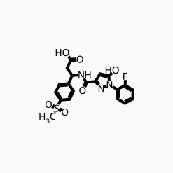 CS(=O)(=O)c1ccc(C(CC(=O)O)NC(=O)c2cc(O)n(-c3ccccc3F)n2)cc1